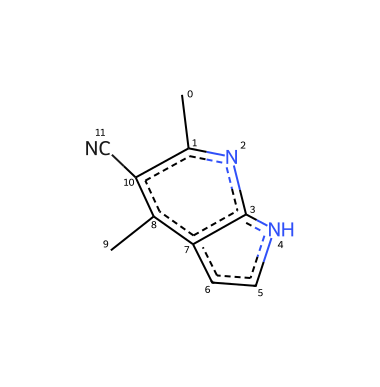 Cc1nc2[nH]ccc2c(C)c1C#N